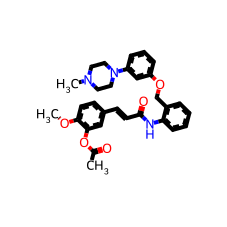 COc1ccc(C=CC(=O)Nc2ccccc2COc2cccc(N3CCN(C)CC3)c2)cc1OC(C)=O